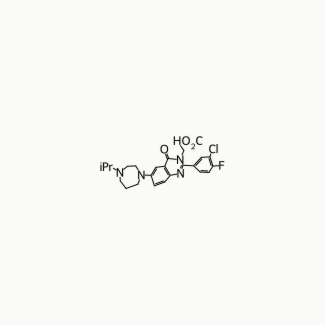 CC(C)N1CCCN(c2ccc3nc(-c4ccc(F)c(Cl)c4)n(CC(=O)O)c(=O)c3c2)CC1